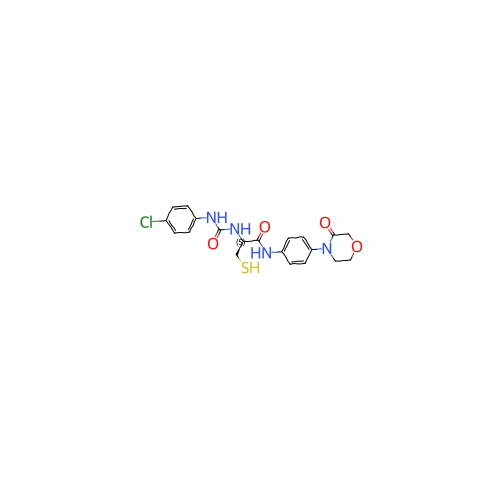 O=C(Nc1ccc(Cl)cc1)N[C@H](CS)C(=O)Nc1ccc(N2CCOCC2=O)cc1